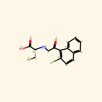 O=C(CN[C@H](CS)C(=O)O)c1c(F)ccc2ccccc12